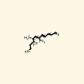 CC(/C=C/C=C/C=O)=C\[C@H](C)[C@@H](O)CCO